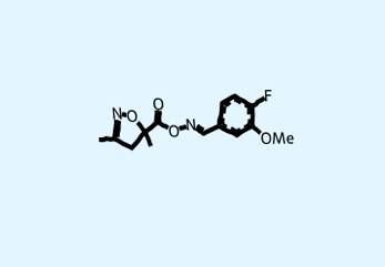 COc1cc(/C=N/OC(=O)C2(C)CC(C)=NO2)ccc1F